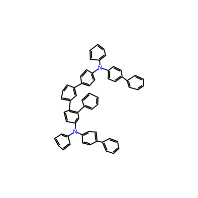 c1ccc(-c2ccc(N(c3ccccc3)c3ccc(-c4cccc(-c5ccc(N(c6ccccc6)c6ccc(-c7ccccc7)cc6)cc5-c5ccccc5)c4)cc3)cc2)cc1